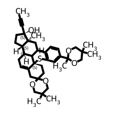 CC#C[C@]1(O)CC[C@H]2[C@@H]3CC=C4CC5(CC[C@@]46Sc4cc(C7(C)OCC(C)(C)CO7)ccc4[C@@H](C[C@@]21C)C36)OCC(C)(C)CO5